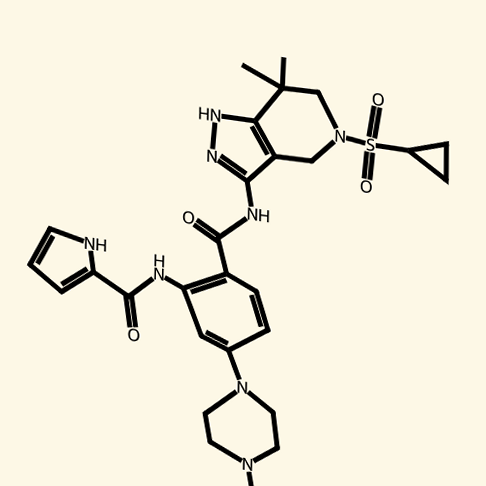 CN1CCN(c2ccc(C(=O)Nc3n[nH]c4c3CN(S(=O)(=O)C3CC3)CC4(C)C)c(NC(=O)c3ccc[nH]3)c2)CC1